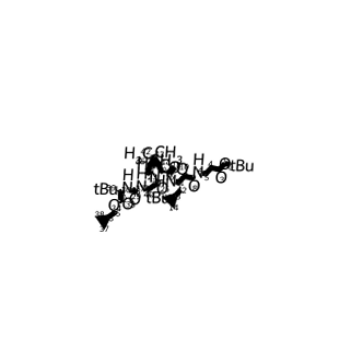 CC(C)(C)OC(=O)CCNC(=O)C(=O)[C@H](CC1CC1)NC(=O)[C@@H]1[C@@H]2[C@H](CN1C(=O)[C@@H](NC(=O)N[C@H](C(=O)OCC1CC1)C(C)(C)C)C(C)(C)C)C2(C)C